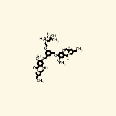 C/C=C1\CC2CNc3cc(OCc4cc(COc5cc6c(cc5OC)C(=O)N5C/C(=C/C)C[C@H]5C=N6)cc(OCCN(C)CC(C)(C)S)c4)c(OC)cc3C(=O)N2C1